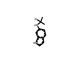 CCC(C)(C)Nc1ccc2cc[nH]c2c1